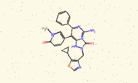 Cn1cc(-c2c(-c3ccccc3)nc(N)[n+]3c(=O)n(Cc4ncoc4C4CC4)[nH]c23)ccc1=O